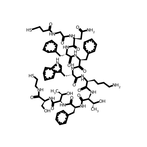 C[C@@H](O)[C@H](NC(=O)[C@H](Cc1ccccc1)NC(=O)[C@@H](NC(=O)[C@H](CCCCN)NC(=O)[C@H](Cc1c[nH]c2ccccc12)NC(=O)[C@H](Cc1ccccc1)NC(=O)[C@H](Cc1ccccc1)NC(=O)[C@H](CC(N)=O)NC(=O)CNC(=O)CCS)[C@@H](C)O)C(=O)N[C@@H](CO)C(=O)NCCS